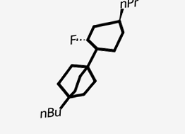 CCCCC12CCC(C3CC[C@H](CCC)C[C@H]3F)(CC1)CC2